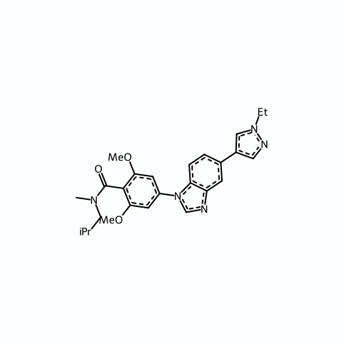 CCn1cc(-c2ccc3c(c2)ncn3-c2cc(OC)c(C(=O)N(C)CC(C)C)c(OC)c2)cn1